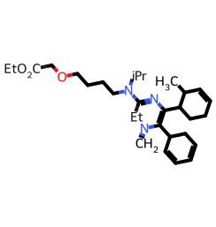 C=N/C(=C(\N=C(/CC)N(CCCCOCC(=O)OCC)C(C)C)C1CCC=CC1C)C1C=CC=CC1